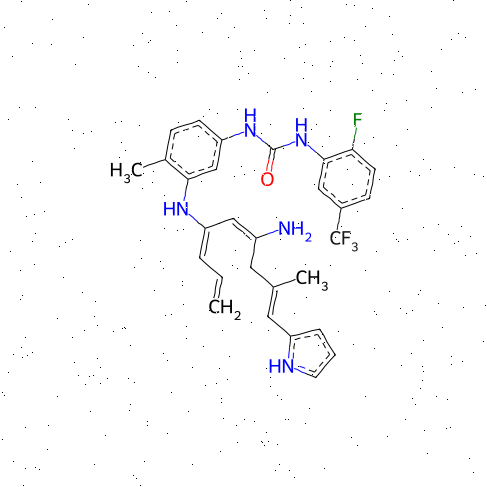 C=C/C=C(\C=C(\N)C/C(C)=C/c1ccc[nH]1)Nc1cc(NC(=O)Nc2cc(C(F)(F)F)ccc2F)ccc1C